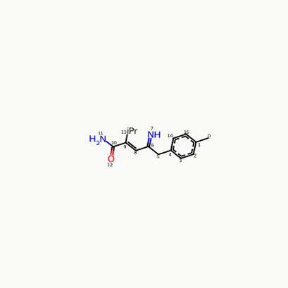 Cc1ccc(CC(=N)/C=C(/C(N)=O)C(C)C)cc1